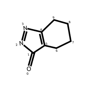 O=C1N=NC2=C1CCCC2